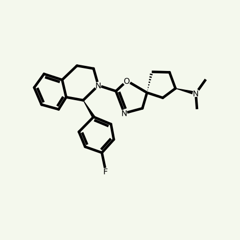 CN(C)[C@@H]1CC[C@@]2(CN=C(N3CCc4ccccc4[C@@H]3c3ccc(F)cc3)O2)C1